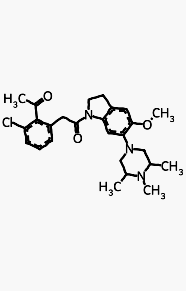 COc1cc2c(cc1N1CC(C)N(C)C(C)C1)N(C(=O)Cc1cccc(Cl)c1C(C)=O)CC2